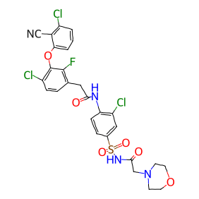 N#Cc1c(Cl)cccc1Oc1c(Cl)ccc(CC(=O)Nc2ccc(S(=O)(=O)NC(=O)CN3CCOCC3)cc2Cl)c1F